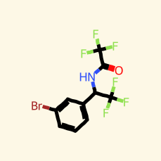 O=C(NC(c1cccc(Br)c1)C(F)(F)F)C(F)(F)F